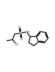 CC(Cl)CS(=O)(=O)NC1CCc2ccccc21